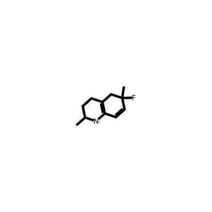 CC1CCC2=C(C=CC(C)(F)C2)[N]1